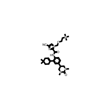 CN1CC(c2ccc(NC(=O)c3nc(C#N)cn3COCC[Si](C)(C)C)c(C3=CCC(C)(C)CC3)c2)CN(C)C1=O